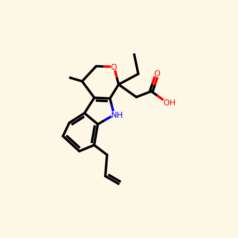 C=CCc1cccc2c3c([nH]c12)C(CC)(CC(=O)O)OCC3C